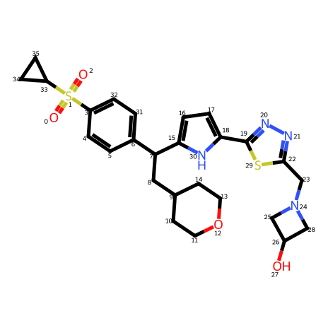 O=S(=O)(c1ccc(C(CC2CCOCC2)c2ccc(-c3nnc(CN4CC(O)C4)s3)[nH]2)cc1)C1CC1